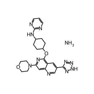 N.c1cnc(NC2CCC(Oc3nc(N4CCOCC4)cc4ncc(-c5nn[nH]n5)cc34)CC2)nc1